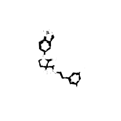 O=C(NCCc1cc(F)cc(Cl)c1)C1(O)CCN(c2ccc3[nH]ncc3c2)C1=O